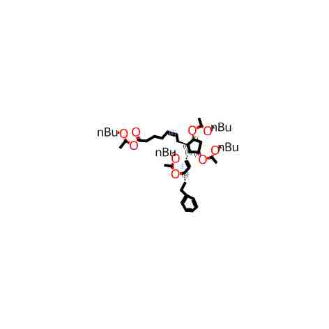 CCCCOC(C)OC(=O)CCC/C=C\C[C@@H]1[C@@H](/C=C/[C@H](CCc2ccccc2)OC(C)OCCCC)[C@H](OC(C)OCCCC)C[C@@H]1OC(C)OCCCC